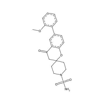 COc1ccccc1-c1ccc2c(c1)C(=O)CC1(CCN(S(N)(=O)=O)CC1)O2